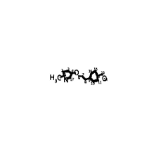 Cc1ccc(OC/C=C/c2ccc(C=O)cc2)cn1